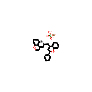 CCC(=Cc1cc(-c2ccccc2)[o+]c2ccccc12)C=C1C=COc2ccccc21.[O-][Cl+3]([O-])([O-])[O-]